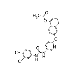 CC(=O)OC1=CCCc2cc(Oc3ccc(NC(=O)Nc4ccc(Cl)c(Cl)c4)cn3)ccc21